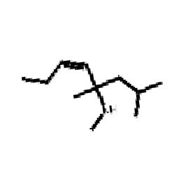 CC/C=C\C(C)(CC(C)C)NC